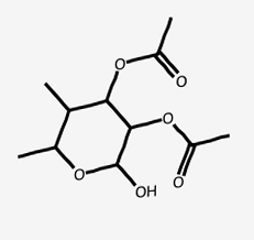 CC(=O)OC1C(O)OC(C)C(C)C1OC(C)=O